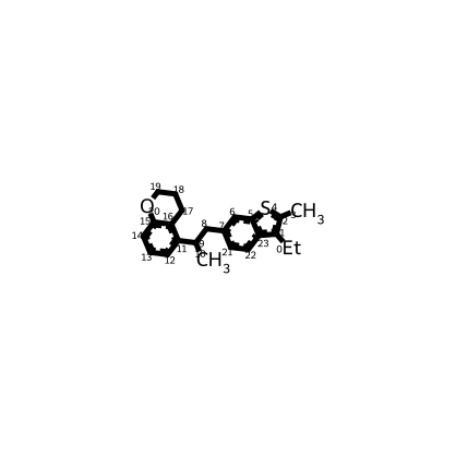 CCc1c(C)sc2cc(CC(C)c3cccc4c3CCCO4)ccc12